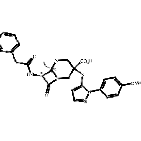 COc1ccc(-n2nccc2SC2(C(=O)O)CS[C@@H]3[C@H](NC(=O)Cc4ccccc4)C(=O)N3C2)cc1